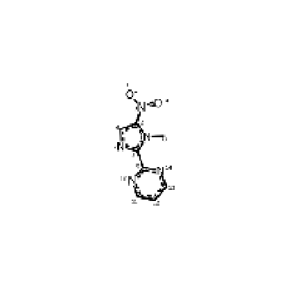 Cn1c([N+](=O)[O-])cnc1-c1ncccn1